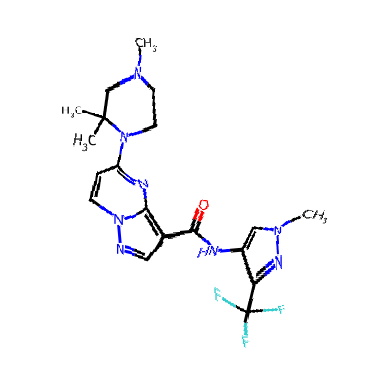 CN1CCN(c2ccn3ncc(C(=O)Nc4cn(C)nc4C(F)(F)F)c3n2)C(C)(C)C1